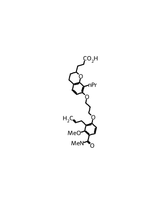 C=CCc1c(OCCCOc2ccc3c(c2CCC)OC(CCC(=O)O)CC3)ccc(C(=O)NC)c1OC